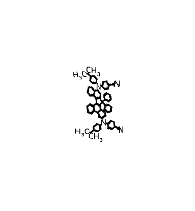 CC(C)c1ccc(N(c2ccc(C#N)cc2)c2ccc3c4c(c5ccccc5c3c2)-c2c(cc(N(c3ccc(C#N)cc3)c3ccc(C(C)C)cc3)c3ccccc23)C4(c2ccccc2)c2ccccc2)cc1